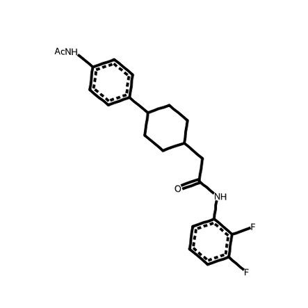 CC(=O)Nc1ccc(C2CCC(CC(=O)Nc3cccc(F)c3F)CC2)cc1